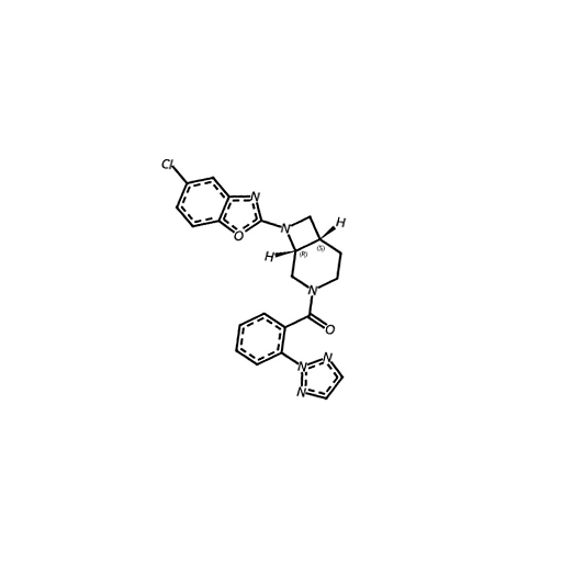 O=C(c1ccccc1-n1nccn1)N1CC[C@H]2CN(c3nc4cc(Cl)ccc4o3)[C@H]2C1